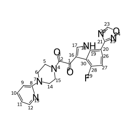 O=C(C(=O)N1CCN(c2ccccn2)CC1)c1c[nH]c2c(-c3ncon3)ccc(F)c12